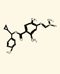 CCN(C)/C=N/c1cc(C)c(C(=O)OC(c2ccc(C)cc2)C2CC2)cc1C